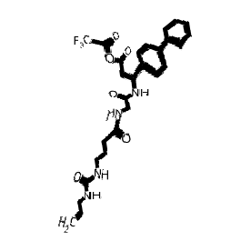 C=CCNC(=O)NCCCC(=O)NCC(=O)NC(CC(=O)OC(=O)C(F)(F)F)c1ccc(-c2ccccc2)cc1